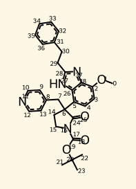 COc1ccc(C2(Cc3ccncc3)CCN(C(=O)OC(C)(C)C)C2=O)c2[nH]c(CCc3ccccc3)nc12